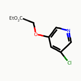 CCOC(=O)COc1cncc(Cl)c1